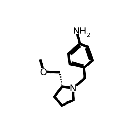 COC[C@H]1CCCN1Cc1ccc(N)cc1